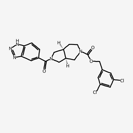 O=C(OCc1cc(Cl)cc(Cl)c1)N1CC[C@@H]2CN(C(=O)c3ccc4[nH]nnc4c3)C[C@@H]2C1